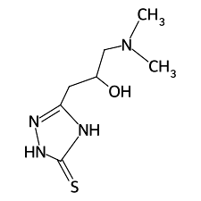 CN(C)CC(O)Cc1n[nH]c(=S)[nH]1